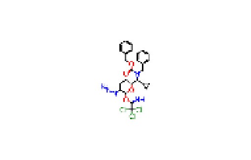 [N-]=[N+]=NC1CC[C@@H]([C@H](C2CC2)N(Cc2ccccc2)C(=O)OCc2ccccc2)OC1OC(=N)C(Cl)(Cl)Cl